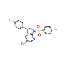 Cc1ccc(S(=O)(=O)n2cc(-c3ccc(F)cc3)c3cc(Br)cnc32)cc1